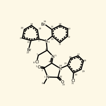 CN1C(=O)C(=NC(CCl)N(c2ccccc2Br)c2ccccc2Br)N(c2ccccc2Cl)C1=O